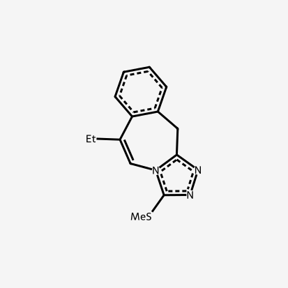 CCC1=Cn2c(nnc2SC)Cc2ccccc21